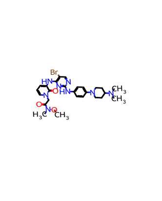 CON(C)C(=O)Cn1cccc(Nc2nc(Nc3ccc(N4CCC(N(C)C)CC4)cc3)ncc2Br)c1=O